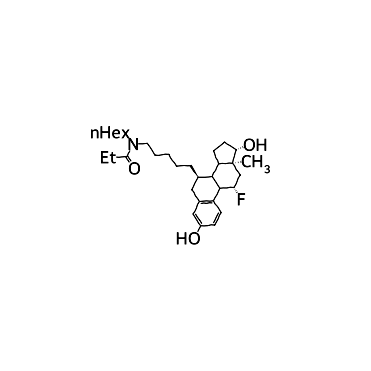 CCCCCCN(CCCCC[C@@H]1Cc2cc(O)ccc2C2C1C1CC[C@H](O)[C@@]1(C)C[C@@H]2F)C(=O)CC